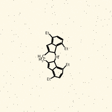 CCc1ccc(CC)c2c1C=C(C)[CH]2[Hf][CH]1C(C)=Cc2c(CC)ccc(CC)c21